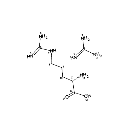 N=C(N)N.N=C(N)NCCC[C@H](N)C(=O)O